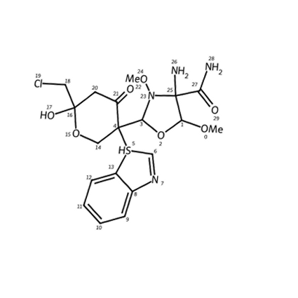 COC1OC(C2([SH]3C=Nc4ccccc43)COC(O)(CCl)CC2=O)N(OC)C1(N)C(N)=O